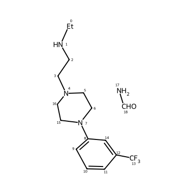 CCNCCN1CCN(c2cccc(C(F)(F)F)c2)CC1.NC=O